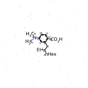 CCCCCCC(CC)Cc1cc(N(C)C)ccc1C(=O)O